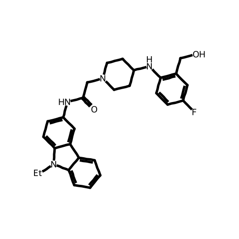 CCn1c2ccccc2c2cc(NC(=O)CN3CCC(Nc4ccc(F)cc4CO)CC3)ccc21